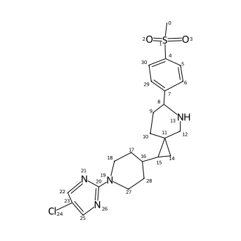 CS(=O)(=O)c1ccc(C2CCC3(CN2)CC3C2CCN(c3ncc(Cl)cn3)CC2)cc1